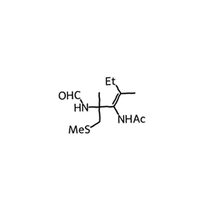 CC/C(C)=C(/NC(C)=O)C(C)(CSC)NC=O